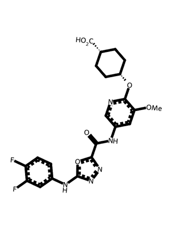 COc1cc(NC(=O)c2nnc(Nc3ccc(F)c(F)c3)o2)cnc1O[C@H]1CC[C@@H](C(=O)O)CC1